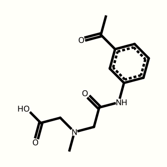 CC(=O)c1cccc(NC(=O)CN(C)CC(=O)O)c1